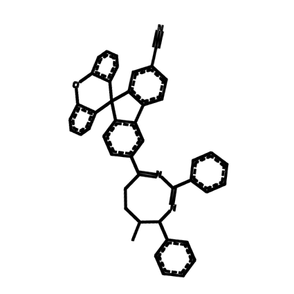 CC1CC/C(c2ccc3c(c2)-c2ccc(C#N)cc2C32c3ccccc3Oc3ccccc32)=N\C(c2ccccc2)=N/C1c1ccccc1